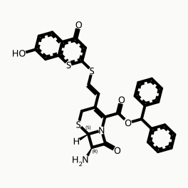 N[C@@H]1C(=O)N2C(C(=O)OC(c3ccccc3)c3ccccc3)=C(C=CSc3cc(=O)c4ccc(O)cc4s3)CS[C@@H]12